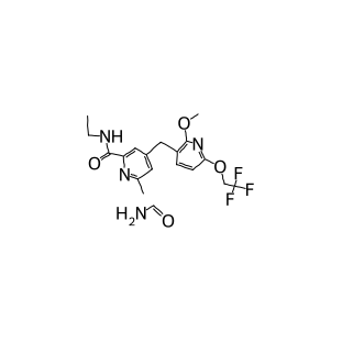 CCNC(=O)c1cc(Cc2ccc(OCC(F)(F)F)nc2OC)cc(C)n1.NC=O